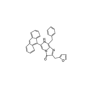 O=c1c(Cc2ccco2)nc2c(Cc3ccccc3)[nH]c(-c3c4ccccc4cc4ccccc34)cn1-2